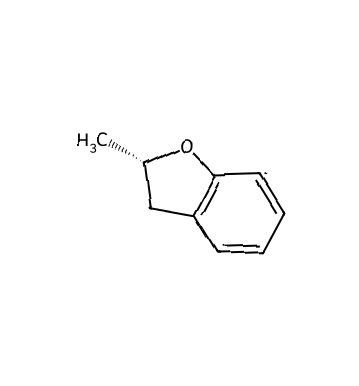 C[C@H]1Cc2ccc[c]c2O1